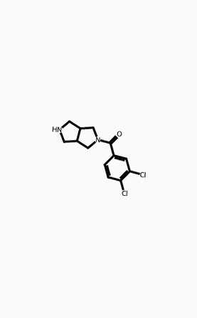 O=C(c1ccc(Cl)c(Cl)c1)N1CC2CNCC2C1